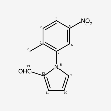 Cc1ccc([N+](=O)[O-])cc1-n1cccc1C=O